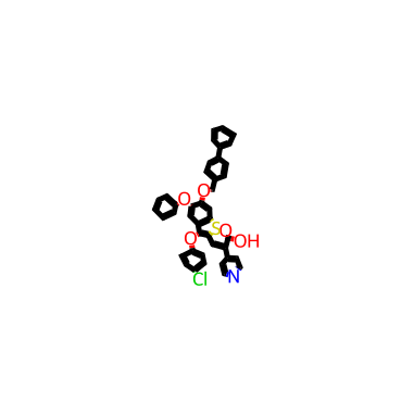 O=C(O)C(=Cc1sc2cc(OCc3ccc(-c4ccccc4)cc3)c(Oc3ccccc3)cc2c1Oc1ccc(Cl)cc1)c1ccncc1